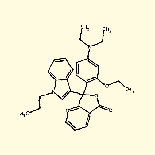 CCCn1cc(C2(c3ccc(N(CC)CC)cc3OCC)OC(=O)c3cccnc32)c2ccccc21